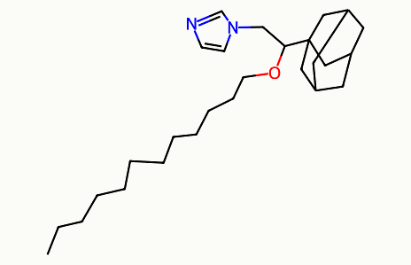 CCCCCCCCCCCCOC(Cn1ccnc1)C12CC3CC(CC(C3)C1)C2